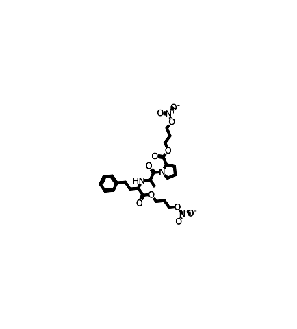 CC(NC(CCc1ccccc1)C(=O)OCCCO[N+](=O)[O-])C(=O)N1CCCC1C(=O)OCCCO[N+](=O)[O-]